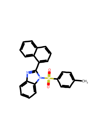 Cc1ccc(S(=O)(=O)n2c(-c3cccc4ccccc34)nc3ccccc32)cc1